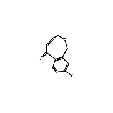 O=C1/C=C\COCc2cc(Cl)ccc21